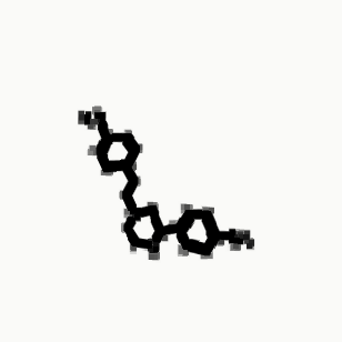 Nc1ccc(CCN2CCOC(c3ccc(N)cc3)C2)cc1